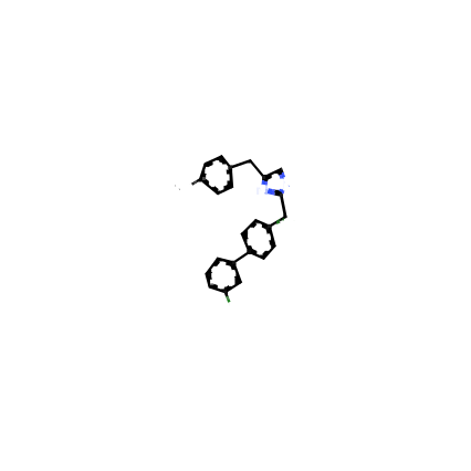 Cl.N#Cc1ccc(Cc2cnc(Cc3ccc(-c4cccc(Cl)c4)cc3)[nH]2)cc1